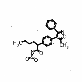 CCCCC(C(=O)N=S(=O)=O)c1ccc(-c2c(-c3ccccc3)noc2C)cc1